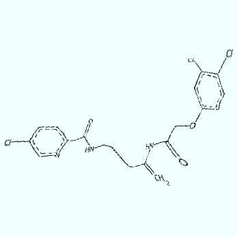 C=C(CCNC(=O)c1ccc(Cl)cn1)NC(=O)COc1ccc(Cl)c(Cl)c1